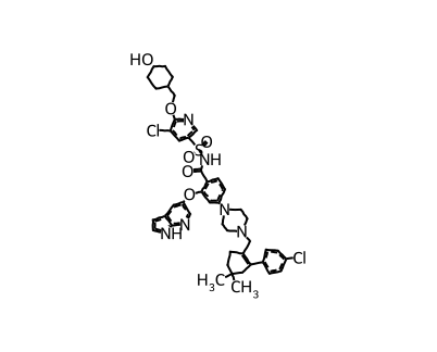 CC1(C)CCC(CN2CCN(c3ccc(C(=O)NS(=O)(=O)c4cnc(OCC5CCC(O)CC5)c(Cl)c4)c(Oc4cnc5[nH]ccc5c4)c3)CC2)=C(c2ccc(Cl)cc2)C1